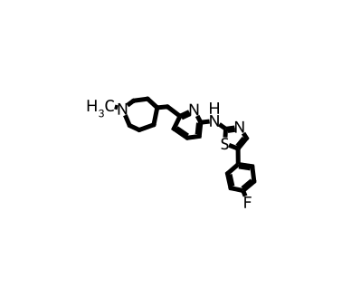 CN1CCCC(Cc2cccc(Nc3ncc(-c4ccc(F)cc4)s3)n2)CC1